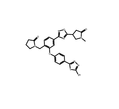 CC(C)c1nnc(-c2ccc(Oc3cc(-c4noc(C5CC(=O)N(C)C5)n4)ccc3CN3CCCC3=O)cc2)s1